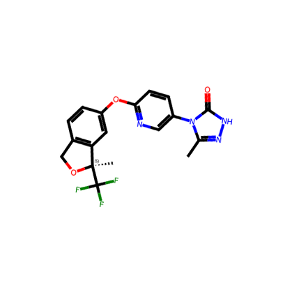 Cc1n[nH]c(=O)n1-c1ccc(Oc2ccc3c(c2)[C@@](C)(C(F)(F)F)OC3)nc1